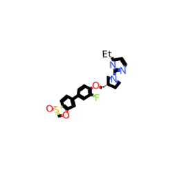 CCc1ccnc(N2CC[C@H](COc3ccc(-c4ccc5c(c4)OC[S+]5[O-])cc3F)C2)n1